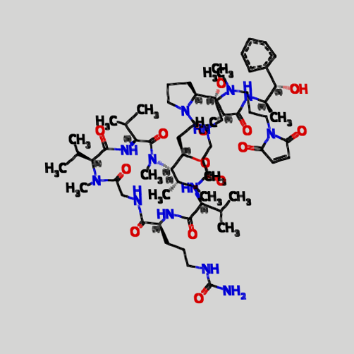 CC[C@H](C)[C@@H]([C@@H](CC(=O)N1CCC[C@H]1[C@H](OC)[C@@H](C)C(=O)N[C@H](C)[C@@H](O)c1ccccc1)OC)N(C)C(=O)[C@@H](NC(=O)[C@H](C(C)C)N(C)C(=O)CNC(=O)[C@H](CCCNC(N)=O)NC(=O)[C@@H](NC(=O)CCNCCN(C)CCCN1C(=O)C=CC1=O)C(C)C)C(C)C